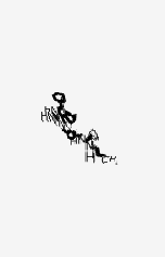 CCCCNC(=O)NCc1ccc(CN2C(=N)NC(CCC3CCCCC3)(c3ccccc3)C2=O)cc1